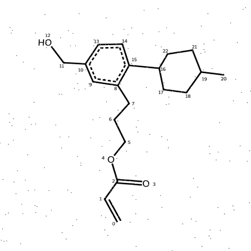 C=CC(=O)OCCCc1cc(CO)ccc1C1CCC(C)CC1